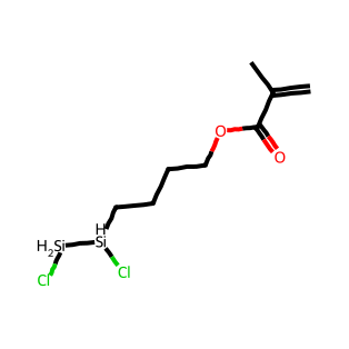 C=C(C)C(=O)OCCCC[SiH](Cl)[SiH2]Cl